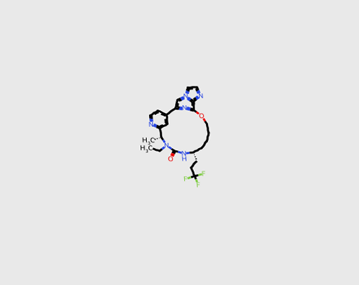 CCN1C(=O)N[C@@H](CCC(F)(F)F)CCCCOc2nc(cn3ccnc23)-c2ccnc(c2)[C@H]1C